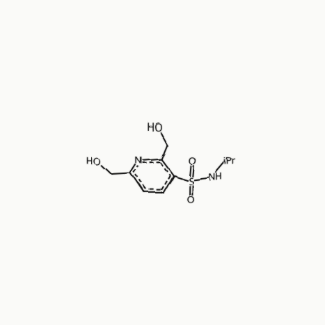 CC(C)NS(=O)(=O)c1ccc(CO)nc1CO